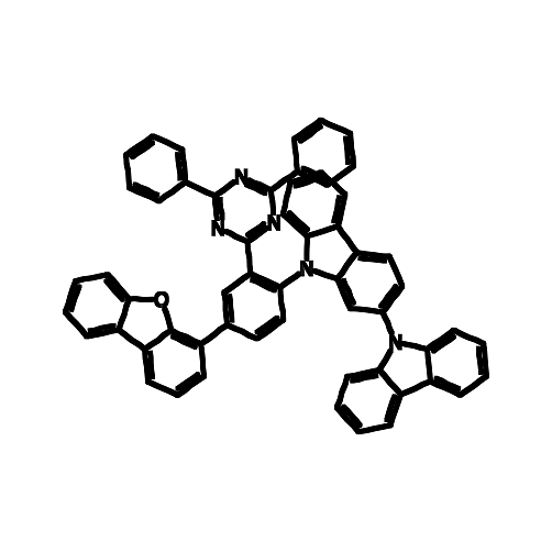 c1ccc(-c2nc(-c3ccccc3)nc(-c3cc(-c4cccc5c4oc4ccccc45)ccc3-n3c4ccccc4c4ccc(-n5c6ccccc6c6ccccc65)cc43)n2)cc1